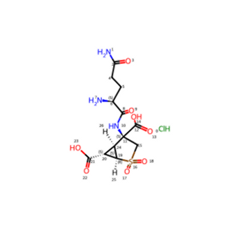 Cl.NC(=O)CC[C@H](N)C(=O)N[C@@]1(C(=O)O)CS(=O)(=O)[C@H]2[C@H](C(=O)O)[C@H]21